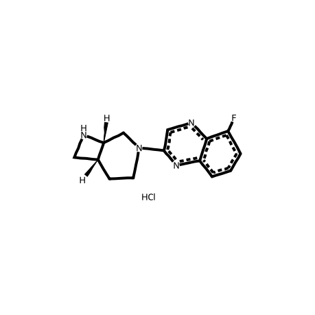 Cl.Fc1cccc2nc(N3CC[C@@H]4CN[C@@H]4C3)cnc12